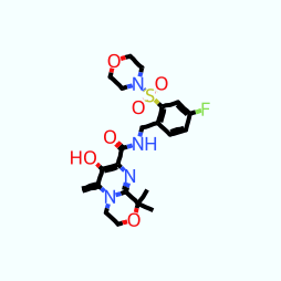 C=C1C(O)=C(C(=O)NCc2ccc(F)cc2S(=O)(=O)N2CCOCC2)N=C2N1CCOC2(C)C